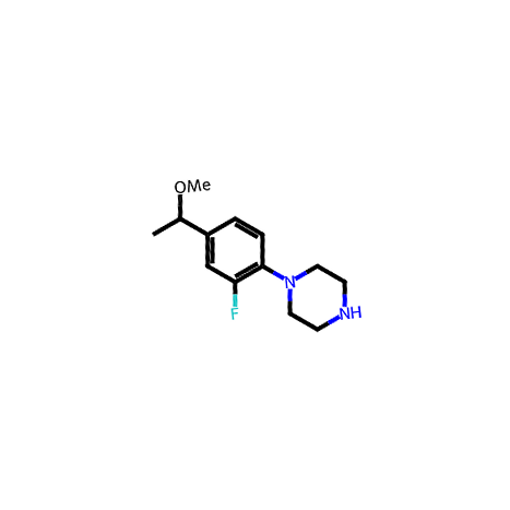 COC(C)c1ccc(N2CCNCC2)c(F)c1